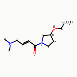 CN(C)CC=CC(=O)N1CCC(OCC(=O)O)C1